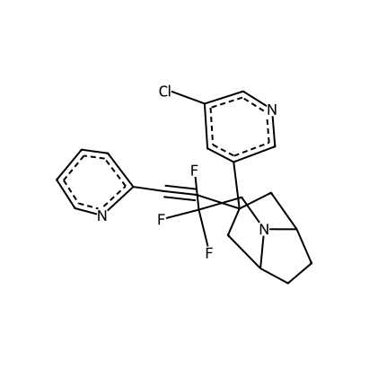 FC(F)(F)CN1C2CCC1CC(C#Cc1ccccn1)(c1cncc(Cl)c1)C2